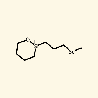 C[Se]CCC[SiH]1CCCCO1